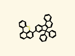 c1ccc(C2(c3ccccc3)c3cc(-c4ccc5cccc6c5c4Sc4ccccc4-6)ccc3-c3c2ccc2ccccc32)cc1